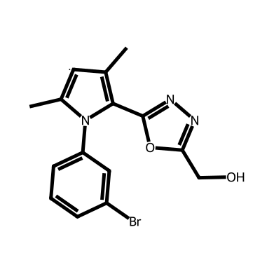 Cc1[c]c(C)n(-c2cccc(Br)c2)c1-c1nnc(CO)o1